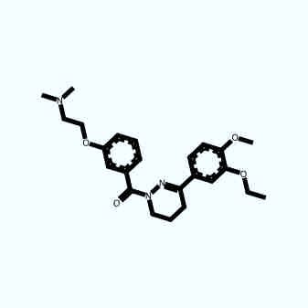 CCOc1cc(C2=NN(C(=O)c3cccc(OCCN(C)C)c3)CCC2)ccc1OC